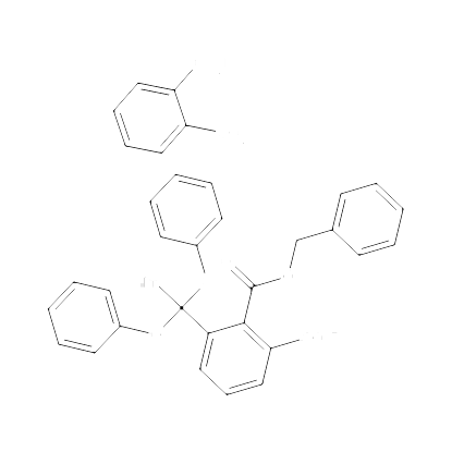 CCCC(Oc1ccccc1)(Oc1ccccc1)c1cccc(C(=O)OCC)c1C(=O)OCc1ccccc1.O=C(O)c1ccccc1C(=O)O